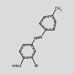 CCCCCCc1ccc(N=Nc2ccc(C)cc2)cc1Br